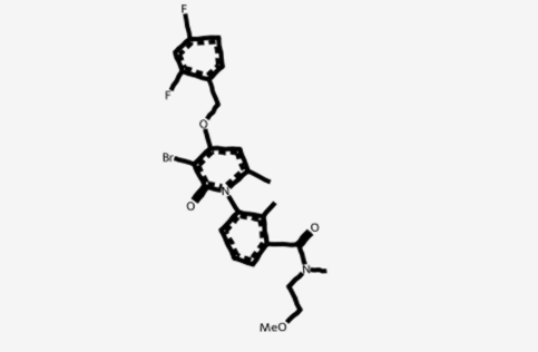 COCCN(C)C(=O)c1cccc(-n2c(C)cc(OCc3ccc(F)cc3F)c(Br)c2=O)c1C